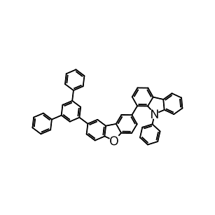 c1ccc(-c2cc(-c3ccccc3)cc(-c3ccc4oc5ccc(-c6cccc7c8ccccc8n(-c8ccccc8)c67)cc5c4c3)c2)cc1